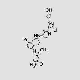 CC(C)c1ccc(N2C[C@H](CS(C)(=O)=O)[C@H]2C)c2cnc(Nc3ccnc(-c4cn(C5CC(O)C5)nc4Cl)n3)cc12